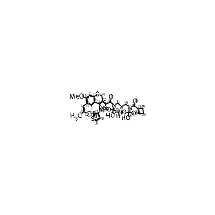 COc1cc2c(cc1C=C(C)C)-c1c(c(C(=O)N(CCCN(C(=O)C3CCC3)C(O)(O)O)C(O)(O)O)nn1-c1ccsc1)CO2